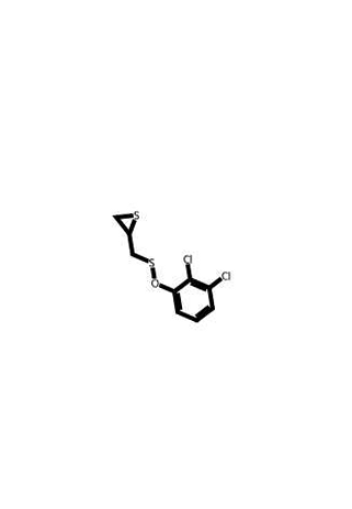 Clc1cccc(OSCC2CS2)c1Cl